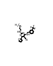 COCCNc1nc(NCc2cccc(C(F)(F)F)c2)c(C#N)c(-c2ccco2)n1